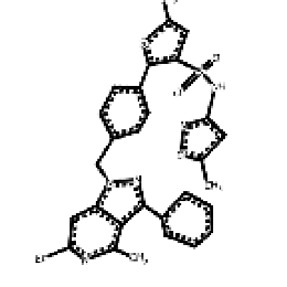 CCc1cc2c(c(C)n1)c(-c1ccccc1)nn2Cc1ccc(-c2sc(C)cc2S(=O)(=O)Nc2cc(C)on2)cc1